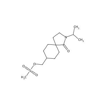 CC(C)N1CCC2(CCC(COS(C)(=O)=O)CC2)C1=O